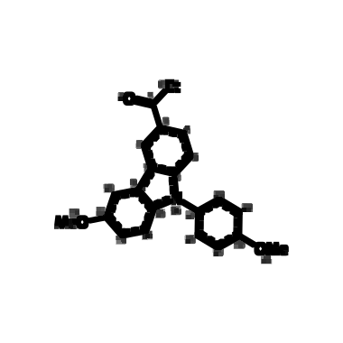 CCC(=O)c1ccc2c(c1)c1cc(OC)ccc1n2-c1ccc(OC)cc1